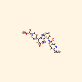 COc1ccc(C(=O)Nc2cccc3nn4c(C5CCN(C(=O)OC(C)(C)C)CC5)cc(=O)[nH]c4c23)cn1